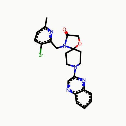 Cc1ccc(Br)c(CN2C(=O)COC23CCN(c2cnc4ccccc4n2)CC3)n1